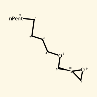 CCCCCCCCCOC[C@@H]1CO1